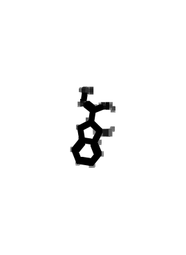 Cl.N/C(=N\O)C1Cc2ccccc2C1